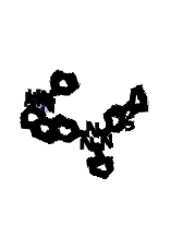 N=C1C=Cc2ccc3cc(-c4nc(-c5ccccc5)nc(-c5ccc6c(c5)sc5ccccc56)n4)ccc3c2/C1=N/Nc1ccccc1